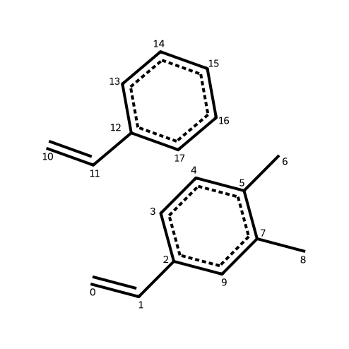 C=Cc1ccc(C)c(C)c1.C=Cc1ccccc1